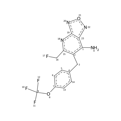 Nc1c(Cc2ccc(OC(F)(F)F)cc2)c(CF)nc2nonc12